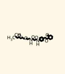 CC(C)CC(=O)CCCOCCNC(=O)CC(=O)Nc1ccc(CC(=O)C2CCCCC2=O)cc1